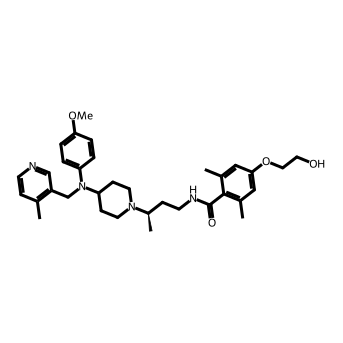 COc1ccc(N(Cc2cnccc2C)C2CCN([C@H](C)CCNC(=O)c3c(C)cc(OCCO)cc3C)CC2)cc1